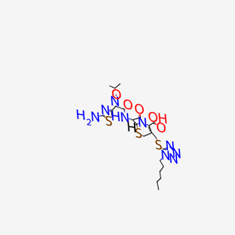 CCCCCCn1nnnc1SCC1=C(C(=O)O)N2C(=O)C(NC(=O)/C(=N\OC(C)C)c3csc(N)n3)[C@H]2SC1